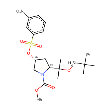 CC(C)C(C)(C)[SiH2]OC(C)(C)[C@H]1C[C@@H](OS(=O)(=O)c2cccc([N+](=O)[O-])c2)CN1C(=O)OC(C)(C)C